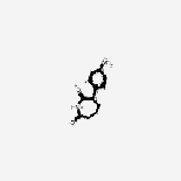 O=C1CCCC(c2ccc([N+](=O)[O-])cc2)C(=O)N1